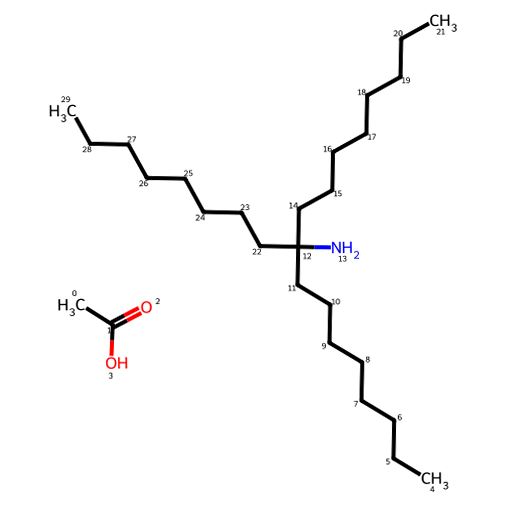 CC(=O)O.CCCCCCCCC(N)(CCCCCCCC)CCCCCCCC